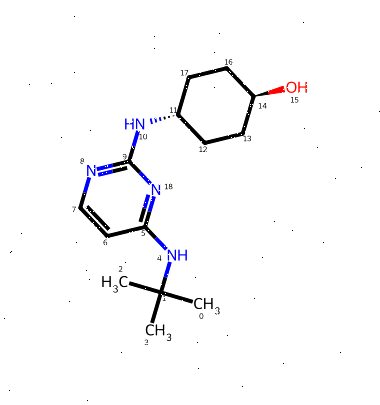 CC(C)(C)Nc1ccnc(N[C@H]2CC[C@H](O)CC2)n1